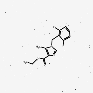 CCOC(=O)c1ncn(Cc2c(F)cccc2F)c1C